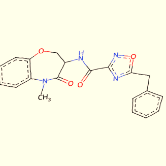 CN1C(=O)C(NC(=O)c2noc(Cc3ccccc3)n2)COc2ccccc21